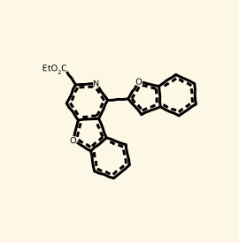 CCOC(=O)c1cc2oc3ccccc3c2c(-c2cc3ccccc3o2)n1